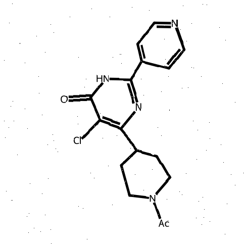 CC(=O)N1CCC(c2nc(-c3ccncc3)[nH]c(=O)c2Cl)CC1